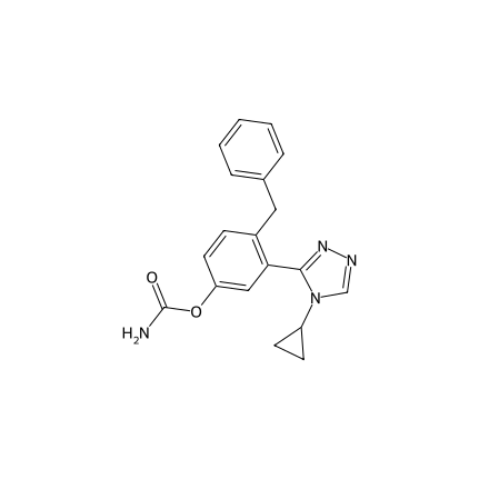 NC(=O)Oc1ccc(Cc2ccccc2)c(-c2nncn2C2CC2)c1